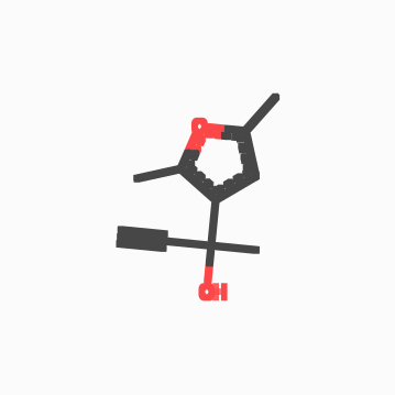 C#CC(C)(O)c1cc(C)oc1C